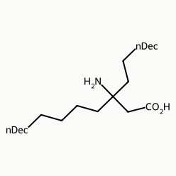 CCCCCCCCCCCCCCC(N)(CCCCCCCCCCCC)CC(=O)O